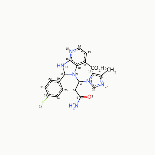 Cc1cn(C(CC(N)=O)N2c3c(C(=O)O)ccnc3NC2c2ccc(F)cc2)cn1